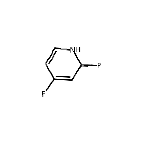 F[C]1C=C(F)C=CN1